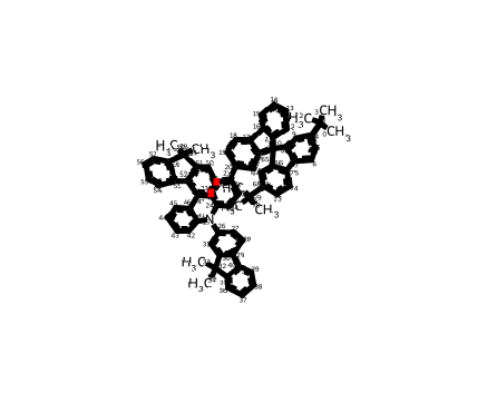 CC(C)(C)c1ccc2c(c1)C1(c3ccccc3-c3ccc(-c4ccc(N(c5ccc6c(c5)C(C)(C)c5ccccc5-6)c5ccccc5-c5cccc6c5-c5ccccc5C6(C)C)cc4)cc31)c1cc(C(C)(C)C)ccc1-2